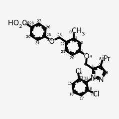 Cc1cc(OCc2c(C(C)C)cnn2-c2c(Cl)cccc2Cl)ccc1COc1ccc(C(=O)O)cc1